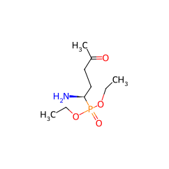 CCOP(=O)(OCC)[C@@H](N)CCC(C)=O